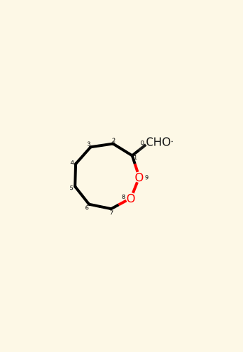 O=[C]C1CCCCCCOO1